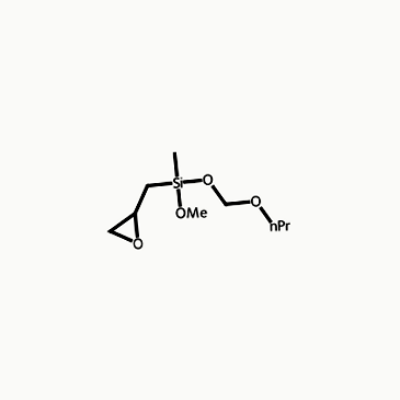 CCCOCO[Si](C)(CC1CO1)OC